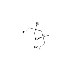 CCC(C)(CC(C)C)C[C@@](C)(CC)CC(=O)O